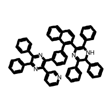 c1ccc(C2=NC(c3ccc4ccccc4c3-c3cccc(-c4nc(-c5ccccc5)c(-c5ccccc5)nc4-c4cccnc4)c3)=C(c3ccccc3)NC2c2ccccc2)cc1